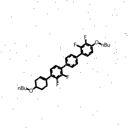 CCCCOc1ccc(-c2ccc(-c3ccc(C4=CCC(OCCCC)CC4)c(F)c3F)cc2)c(F)c1F